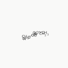 C=C(CC)CC1CCN(S(=O)(=O)c2ccc(-c3ccc(CCN4CCC[C@H]4C)cc3)cc2)CC1